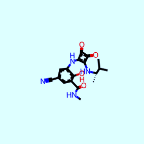 CNC(=O)c1cc(C#N)cc(Nc2c(N[C@@H](C)C(C)C)c(=O)c2=O)c1O